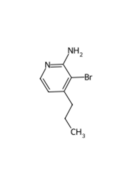 CCCc1ccnc(N)c1Br